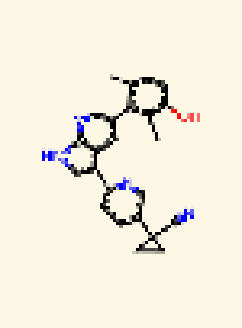 Cc1ccc(O)c(C)c1-c1cnc2[nH]cc(-c3ccc(C4(C#N)CC4)cn3)c2c1